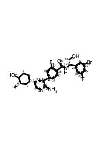 Nc1ncc([C@H]2CCC(O)[C@@H](F)C2)nc1-c1ccc(C(=O)N[C@H](CO)c2cc(F)cc(Br)c2)c(F)c1